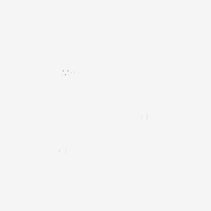 CSc1[c]c(Cl)cc(Cl)c1